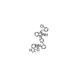 Cc1ccccc1C(=O)Nc1ccccc1-c1ccc(-n2c(=N)n(Cc3ccccc3Cl)c3ccccc32)cc1